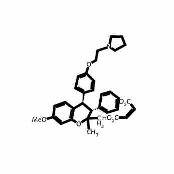 COc1ccc2c(c1)OC(C)(C)[C@@H](c1ccccc1)[C@@H]2c1ccc(OCCN2CCCC2)cc1.O=C(O)/C=C\C(=O)O